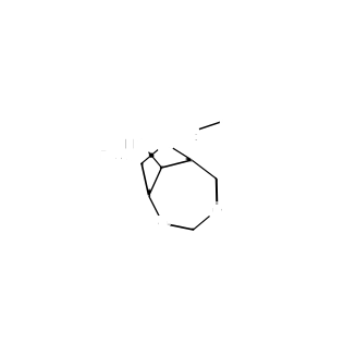 CC[C@@H]1O[C@@]2(CO)COCOC1C2O